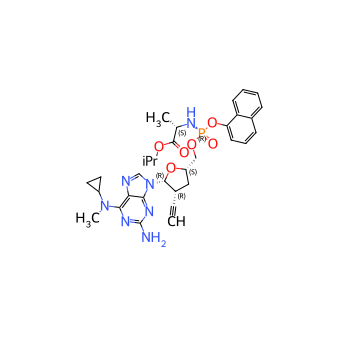 C#C[C@H]1C[C@@H](CO[P@](=O)(N[C@@H](C)C(=O)OC(C)C)Oc2cccc3ccccc23)O[C@H]1n1cnc2c(N(C)C3CC3)nc(N)nc21